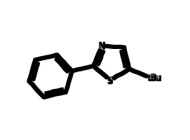 CC(C)(C)c1cnc(-c2ccccc2)s1